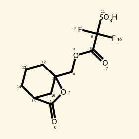 O=C1OC2(COC(=O)C(F)(F)S(=O)(=O)O)CCCC1C2